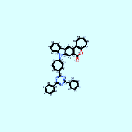 O=c1oc2c(c3cc4c5ccccc5n(C5=CC=C(c6nc(-c7ccccc7)nc(-c7ccccc7)n6)C=CC5)c4cc13)C=CC=CC2